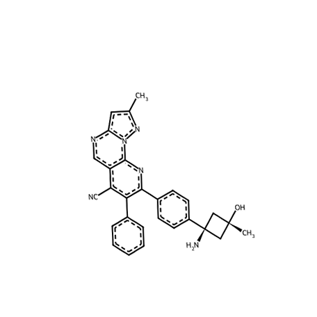 Cc1cc2ncc3c(C#N)c(-c4ccccc4)c(-c4ccc([C@]5(N)C[C@](C)(O)C5)cc4)nc3n2n1